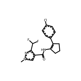 Cn1cc(C(=O)NC2=C(c3ccc(Cl)cc3)CCC2)c(C(F)F)n1